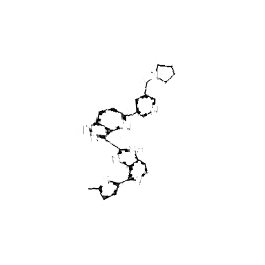 Cc1ccc(-c2nccc3[nH]c(-c4n[nH]c5ccc(-c6cncc(CN7CCCC7)c6)nc45)nc23)s1